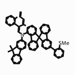 C=C/C=C(C)\C(=C/N(c1ccc2c(c1)C(C)(C)c1ccccc1-2)c1cccc2c1-c1ccccc1C21c2ccccc2-c2cc(-c3ccccc3SC)ccc21)c1ccccc1C